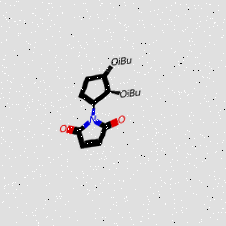 CC(C)COC1CC[C@H](N2C(=O)C=CC2=O)[C@@H]1OCC(C)C